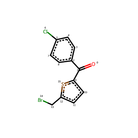 O=C(c1ccc(Cl)cc1)c1ccc(CBr)s1